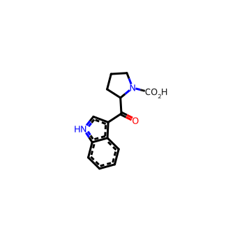 O=C(c1c[nH]c2ccccc12)C1CCCN1C(=O)O